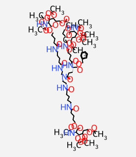 CC(=O)NC1C(OCCCCC(=O)NCCCCC(=O)NCCN(CCNC(=O)CCCCNC(=O)CCCCOC2OC(COC(C)=O)C(OC(C)=O)C(OC(C)=O)C2NC(C)=O)C(=O)CC[C@H](NC(=O)CCCCNC(=O)CCCCOC2OC(COC(C)=O)C(OC(C)=O)C(OC(C)=O)C2NC(C)=O)C(=O)OCc2ccccc2)OC(COC(C)=O)C(OC(C)=O)C1OC(C)=O